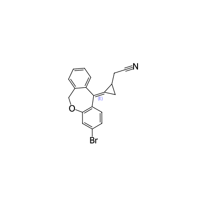 N#CCC1C/C1=C1/c2ccccc2COc2cc(Br)ccc21